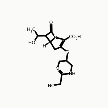 CC(O)C1C(=O)N2C(C(=O)O)=C(SC3CN=C(CC#N)NC3)C[C@H]12